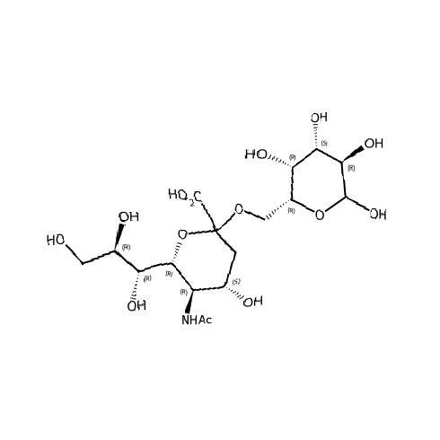 CC(=O)N[C@H]1[C@H]([C@H](O)[C@H](O)CO)OC(OC[C@H]2OC(O)[C@H](O)[C@@H](O)[C@H]2O)(C(=O)O)C[C@@H]1O